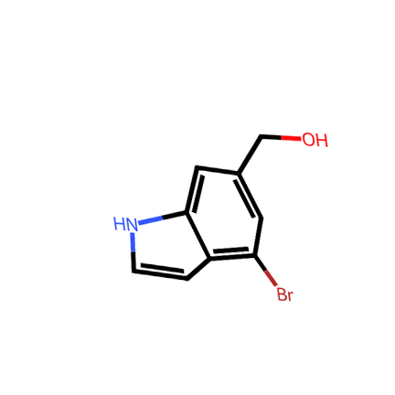 OCc1cc(Br)c2cc[nH]c2c1